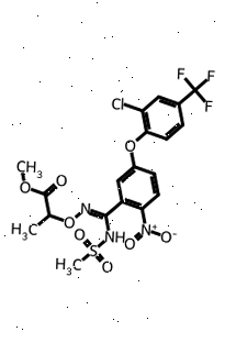 COC(=O)C(C)ON=C(NS(C)(=O)=O)c1cc(Oc2ccc(C(F)(F)F)cc2Cl)ccc1[N+](=O)[O-]